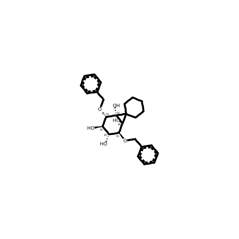 O[C@@H]1[C@@H](O)[C@H](OCc2ccccc2)[C@]2(O)C3(CCCCC3)[C@]2(O)[C@H]1OCc1ccccc1